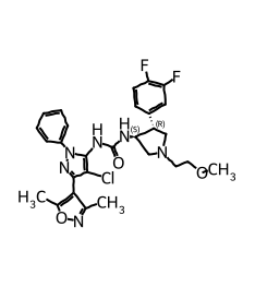 COCCN1C[C@@H](NC(=O)Nc2c(Cl)c(-c3c(C)noc3C)nn2-c2ccccc2)[C@H](c2ccc(F)c(F)c2)C1